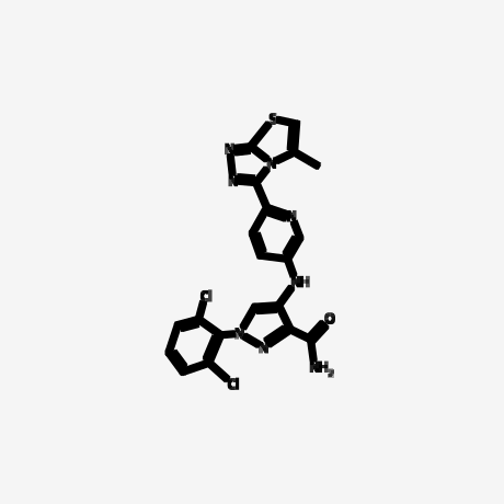 Cc1csc2nnc(-c3ccc(Nc4cn(-c5c(Cl)cccc5Cl)nc4C(N)=O)cn3)n12